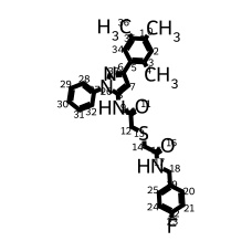 Cc1cc(C)c(-c2cc(NC(=O)CSCC(=O)NCc3ccc(F)cc3)n(-c3ccccc3)n2)cc1C